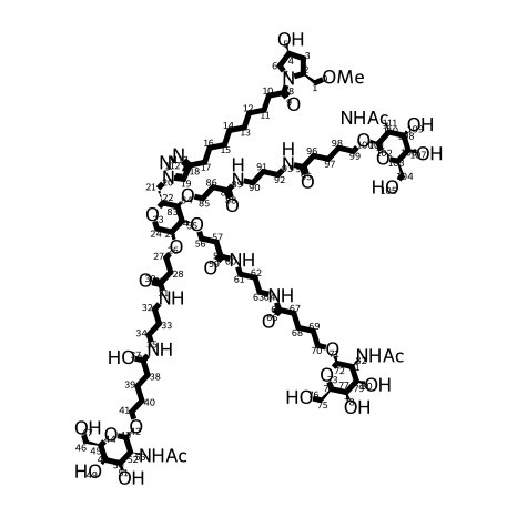 COC[C@@H]1C[C@@H](O)CN1C(=O)CCCCCCCCc1cn(C[C@H]2OC[C@H](OCCC(=O)NCCCNC(O)CCCCO[C@@H]3O[C@H](CO)[C@H](O)[C@H](O)[C@H]3NC(C)=O)[C@@H](OCCC(=O)NCCCNC(=O)CCCCO[C@@H]3O[C@H](CO)[C@H](O)[C@H](O)[C@H]3NC(C)=O)[C@@H]2OCCC(=O)NCCCNC(=O)CCCCO[C@@H]2O[C@H](CO)[C@H](O)[C@H](O)[C@H]2NC(C)=O)nn1